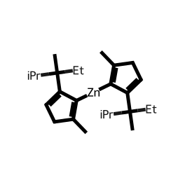 CCC(C)(C1=CCC(C)=[C]1[Zn][C]1=C(C)CC=C1C(C)(CC)C(C)C)C(C)C